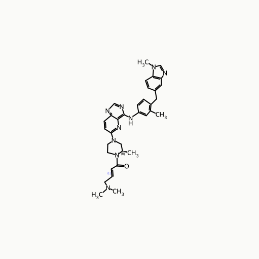 Cc1cc(Nc2ncnc3ccc(N4CCN(C(=O)/C=C/CN(C)C)[C@H](C)C4)nc23)ccc1Cc1ccc2c(c1)ncn2C